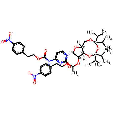 CC(OCCc1ccc([N+](=O)[O-])cc1)O[C@@H]1[C@@H]2O[Si](C(C)C)(C(C)C)O[Si](C(C)C)(C(C)C)OC[C@H]2O[C@H]1n1ccc(NC(=O)OCCc2ccc([N+](=O)[O-])cc2)nc1=O